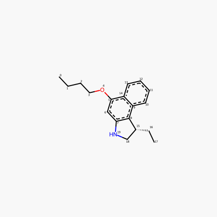 CCCCOc1cc2c(c3ccccc13)[C@H](CC)CN2